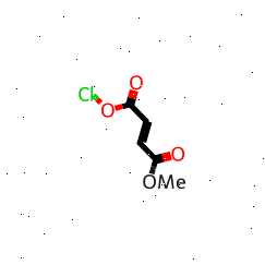 COC(=O)/C=C/C(=O)OCl